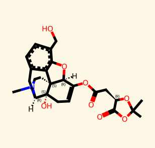 CN1CC[C@]23c4c5ccc(CO)c4O[C@H]2C(OC(=O)C[C@H]2OC(C)(C)OC2=O)=CC[C@@]3(O)[C@H]1C5